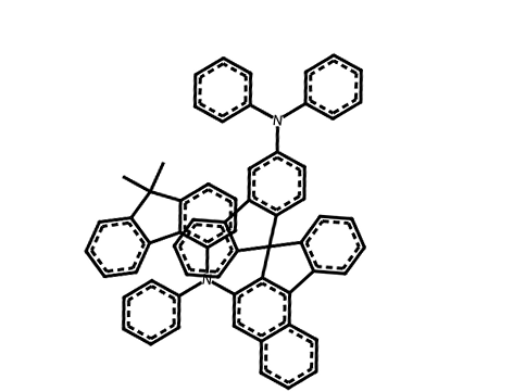 CC1(C)c2ccccc2-c2c(N(c3ccccc3)c3cc4ccccc4c4c3C3(c5ccccc5-c5cc(N(c6ccccc6)c6ccccc6)ccc53)c3ccccc3-4)cccc21